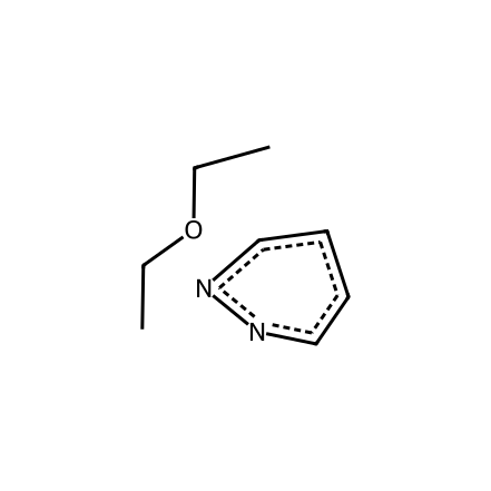 CCOCC.c1ccnnc1